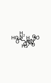 COC(=O)CNC(=O)[C@H](CS)NC(=O)CC[C@H](N)C(=O)O